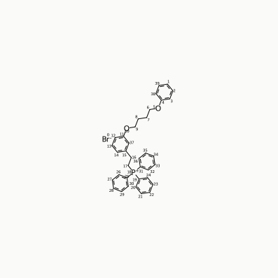 [Br-].c1ccc(OCCCCOc2cccc(CC[P+](c3ccccc3)(c3ccccc3)c3ccccc3)c2)cc1